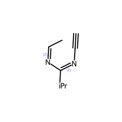 C#C/N=C(\N=C/C)C(C)C